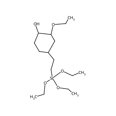 CCOC1CC(CC[Si](OCC)(OCC)OCC)CCC1O